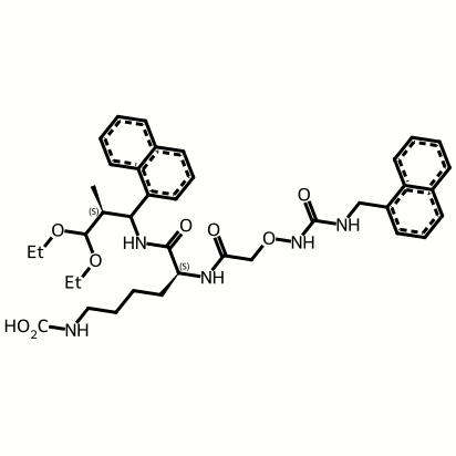 CCOC(OCC)[C@@H](C)C(NC(=O)[C@H](CCCCNC(=O)O)NC(=O)CONC(=O)NCc1cccc2ccccc12)c1cccc2ccccc12